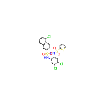 O=S(=O)(Nc1cc(Cl)c(Cl)cc1NS(=O)(=O)c1cccs1)c1ccc2c(Cl)cccc2c1